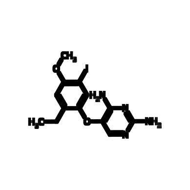 CCc1cc(OC)c(I)cc1Oc1cnc(N)nc1N